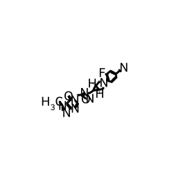 Cn1cnc2ncn(Cc3nc(C4[C@H]5CN(c6ccc(C#N)cc6F)C[C@@H]45)no3)c(=O)c21